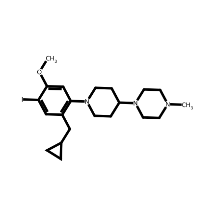 COc1cc(N2CCC(N3CCN(C)CC3)CC2)c(CC2CC2)cc1I